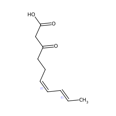 C/C=C/C=C\CCC(=O)CC(=O)O